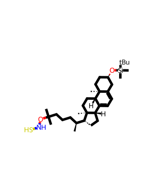 C[C@@H](CCCC(C)(C)ONS)[C@H]1CC[C@H]2C3=CC=C4C[C@@H](O[Si](C)(C)C(C)(C)C)CC[C@]4(C)[C@H]3CC[C@]12C